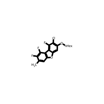 CCCCCCOc1cc2oc3cc(C)c(F)c(F)c3c2c(F)c1Cl